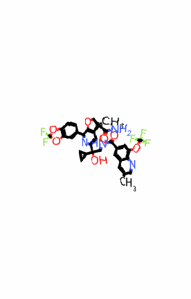 Cc1cnc2c(OC(F)(F)F)cc(C(=O)NCC(O)(c3cc4c(c(-c5ccc6c(c5)OC(F)(F)O6)n3)OC[C@]4(C)C(N)=O)C3CC3)cc2c1